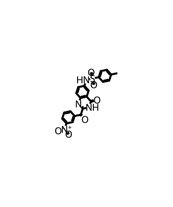 Cc1ccc(S(=O)(=O)Nc2ccc3nc(C(=O)c4cccc([N+](=O)[O-])c4)[nH]c(=O)c3c2)cc1